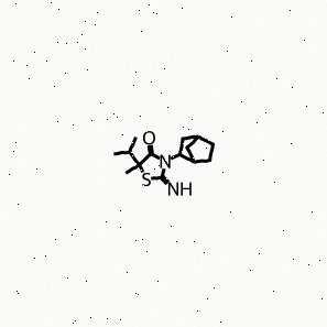 CC(C)C1(C)SC(=N)N(C2CC3CCC2C3)C1=O